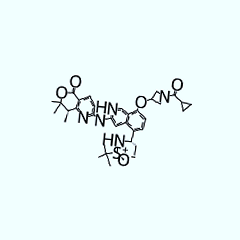 CC[C@H](N[S@@+]([O-])C(C)(C)C)c1ccc(OC2CN(C(=O)C3CC3)C2)c2cnc(Nc3ccc4c(n3)[C@@H](C)C(C)(C)OC4=O)cc12